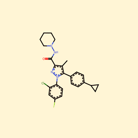 Cc1c(C(=O)NN2CCCCC2)nn(-c2ccc(F)cc2Cl)c1-c1ccc(C2CC2)cc1